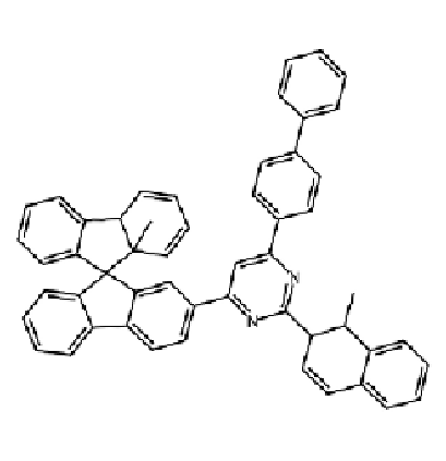 CC1c2ccccc2C=CC1c1nc(-c2ccc(-c3ccccc3)cc2)cc(-c2ccc3c(c2)C2(c4ccccc4-3)c3ccccc3C3C=CC=CC32C)n1